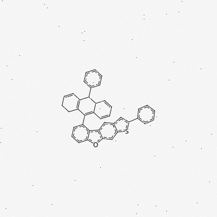 C1=CC2=C(c3cccc4oc5cc6sc(-c7ccccc7)cc6cc5c34)C3=C(C=CCC3)C(c3ccccc3)C2C=C1